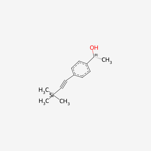 C[C@@H](O)c1ccc(C#C[Si](C)(C)C)cc1